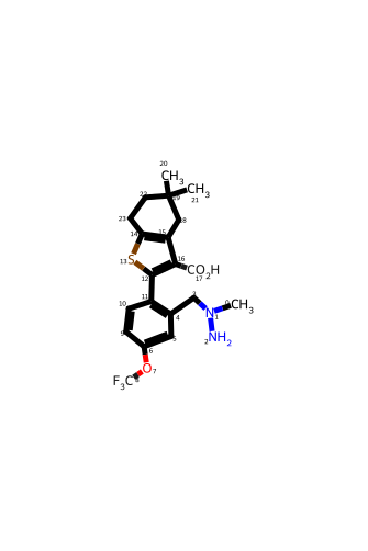 CN(N)Cc1cc(OC(F)(F)F)ccc1-c1sc2c(c1C(=O)O)CC(C)(C)CC2